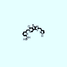 Cn1c2nc(Cc3cc[nH]n3)sc2c2cnn(Cc3cccc(NO)n3)c(=O)c21